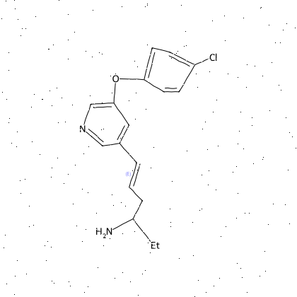 CCC(N)C/C=C/c1cncc(Oc2ccc(Cl)cc2)c1